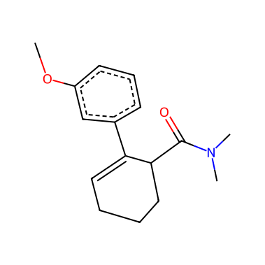 COc1cccc(C2=CCCCC2C(=O)N(C)C)c1